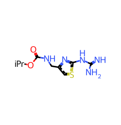 CC(C)OC(=O)NCc1csc(NC(=N)N)n1